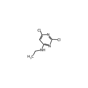 CCNc1cc(Cl)nc(Cl)n1